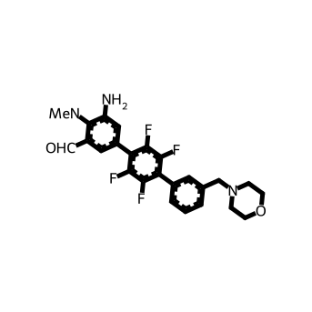 CNc1c(N)cc(-c2c(F)c(F)c(-c3cccc(CN4CCOCC4)c3)c(F)c2F)cc1C=O